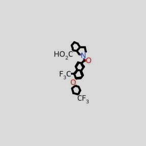 O=C(O)C1CCCC2CCN(C(=O)c3ccc4c(C(F)(F)F)c(OC5CCC(C(F)(F)F)CC5)ccc4c3)CC21